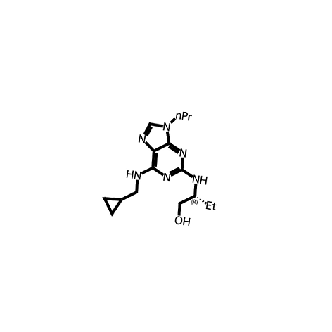 CCCn1cnc2c(NCC3CC3)nc(N[C@H](CC)CO)nc21